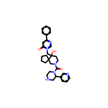 O=C(N1CCC(O)(Cn2cnc(-c3ccccc3)cc2=O)C2(CCCC2)C1)N1CCNCC1c1cccnc1